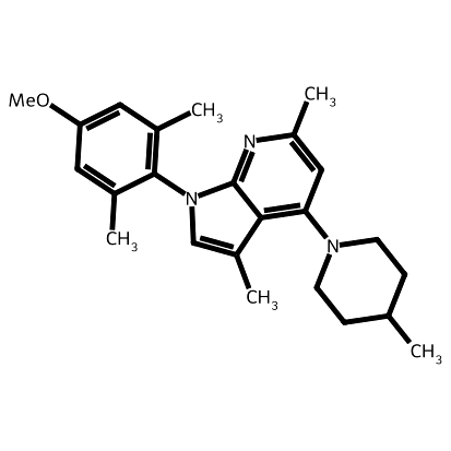 COc1cc(C)c(-n2cc(C)c3c(N4CCC(C)CC4)cc(C)nc32)c(C)c1